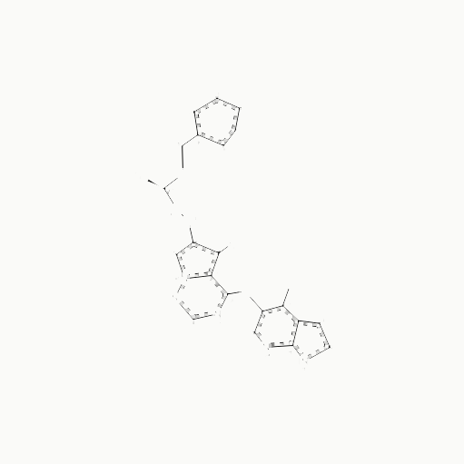 Cc1c(OC[C@@H](C)OCc2ccccc2)cn2ncnc(Oc3cnc4[nH]ccc4c3F)c12